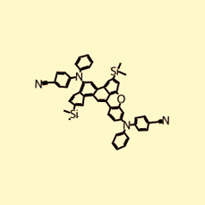 C[Si](C)(C)c1ccc2c(N(c3ccccc3)c3ccc(C#N)cc3)cc3c4cc([Si](C)(C)C)cc5c4c(cc3c2c1)-c1ccc(N(c2ccccc2)c2ccc(C#N)cc2)cc1O5